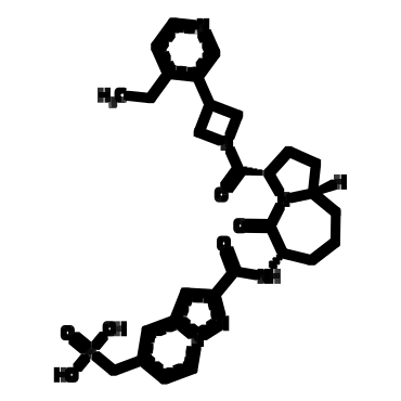 CCc1ccncc1C1CN(C(=O)[C@@H]2CC[C@@H]3CCC[C@H](NC(=O)c4cc5cc(CP(=O)(O)O)ccn5n4)C(=O)N32)C1